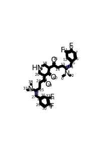 CN(C)/C(=C/c1ccc(F)c(F)c1)CCC(=O)C1CNCC(C(=O)CC/C(=C\c2ccc(F)c(F)c2)N(C)C)C1=O